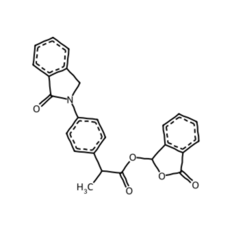 CC(C(=O)OC1OC(=O)c2ccccc21)c1ccc(N2Cc3ccccc3C2=O)cc1